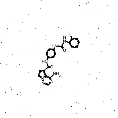 Nc1ncnn2ccc(C(=O)Nc3ccc(NC(=O)Nc4ccccc4F)cc3)c12